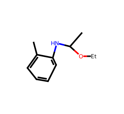 CCOC(C)Nc1ccccc1C